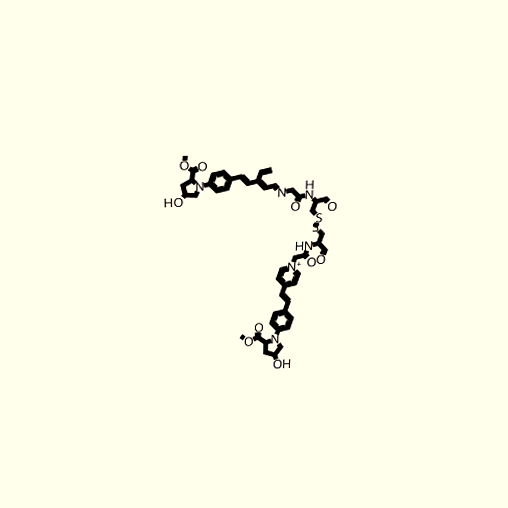 C=CC(/C=C/c1ccc(N2CC(O)CC2C(=O)OC)cc1)=C\C=N\CC(=O)NC(C=O)CSSCC(C=O)NC(=O)C[n+]1ccc(/C=C/c2ccc(N3CC(O)CC3C(=O)OC)cc2)cc1